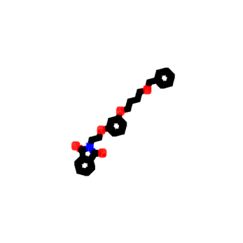 O=C1c2ccccc2C(=O)N1CCOc1cccc(OCCCCOCc2ccccc2)c1